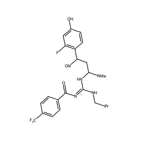 CNC(CC(N=O)c1ccc(O)cc1F)N/C(=N\C(=O)c1ccc(C(F)(F)F)cc1)NCC(C)C